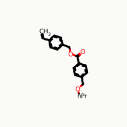 C=Cc1ccc(COC(=O)c2ccc(COCCC)cc2)cc1